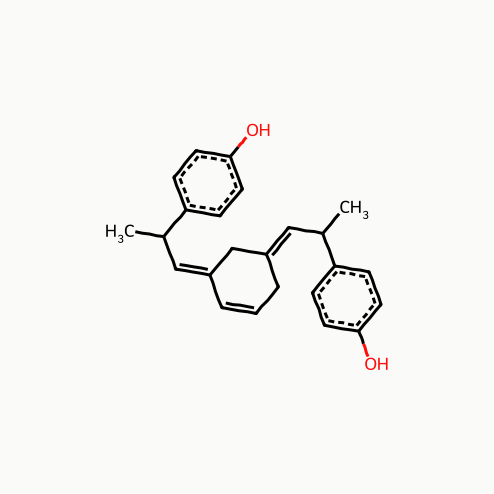 CC(/C=C1/C=CC/C(=C\C(C)c2ccc(O)cc2)C1)c1ccc(O)cc1